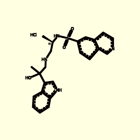 C[C@H](CNCC(C)(O)c1c[nH]c2ccccc12)NS(=O)(=O)c1ccc2cnccc2c1.Cl